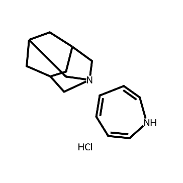 C1=CC=CNC=C1.C1C2CC3CC1CN(C2)C3.Cl